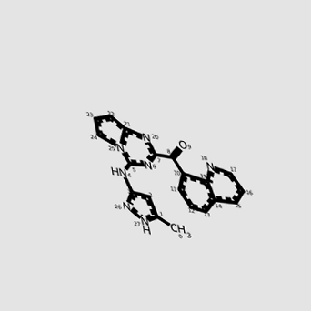 Cc1cc(Nc2nc(C(=O)c3cccc4cccnc34)nc3cccn23)n[nH]1